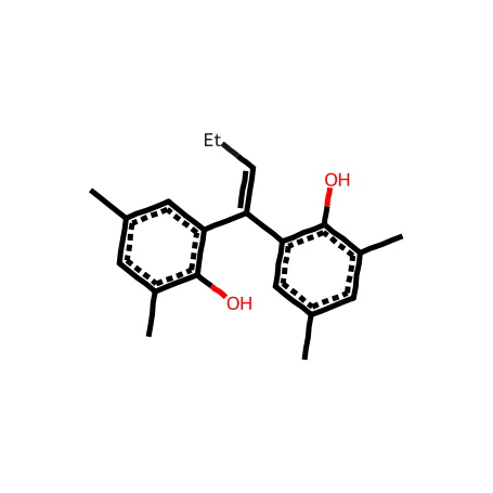 CCC=C(c1cc(C)cc(C)c1O)c1cc(C)cc(C)c1O